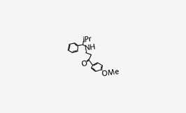 COc1ccc(C(=O)CCNC(c2ccccc2)C(C)C)cc1